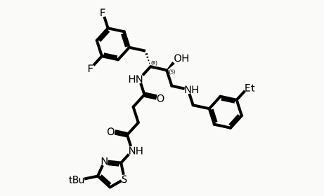 CCc1cccc(CNC[C@H](O)[C@@H](Cc2cc(F)cc(F)c2)NC(=O)CCC(=O)Nc2nc(C(C)(C)C)cs2)c1